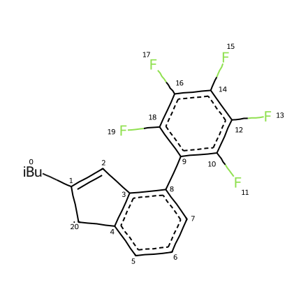 CCC(C)C1=Cc2c(cccc2-c2c(F)c(F)c(F)c(F)c2F)[CH]1